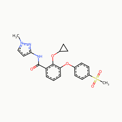 Cn1ccc(NC(=O)c2cccc(Oc3ccc(S(C)(=O)=O)cc3)c2OC2CC2)n1